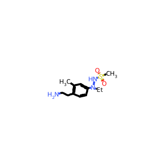 CCN(NS(C)(=O)=O)c1ccc(CCN)c(C)c1